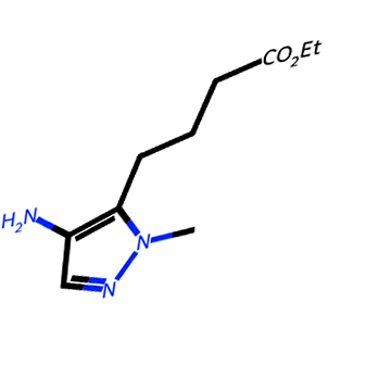 CCOC(=O)CCCc1c(N)cnn1C